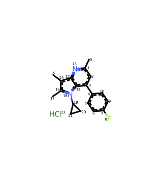 Cc1cc(-c2ccc(F)cc2)c2c(n1)c(C)c(C)n2C1CC1.Cl